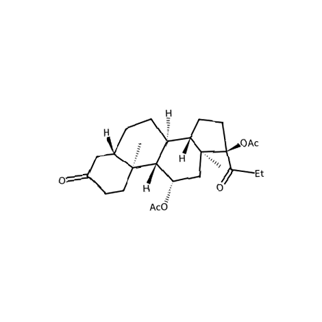 CCC(=O)[C@@]1(OC(C)=O)CC[C@H]2[C@@H]3CC[C@H]4CC(=O)CC[C@]4(C)[C@H]3[C@@H](OC(C)=O)C[C@@]21C